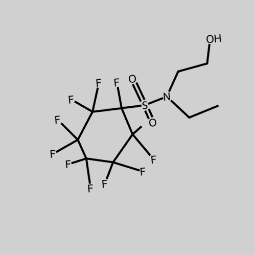 CCN(CCO)S(=O)(=O)C1(F)C(C)(F)C(F)(F)C(F)(F)C(F)(F)C1(F)F